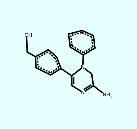 NC1=NC=C(c2ccc(CO)cc2)N(c2ccccc2)C1